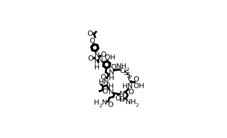 CCC(C)C1NC(=O)C(Cc2ccc(O)c(-n3[nH]c(=O)n(-c4ccc(OCC(C)=O)cc4)c3=O)c2)NC(=O)C(N)CSSCC(C(=O)O)NC(=O)C(CC(N)=O)NC(=O)C(CCC(N)=O)NC1=O